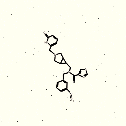 O=C(c1cscn1)N(Cc1cccc(OC(F)(F)F)c1)CC1C2CN(Cc3cccc(=O)[nH]3)CC21